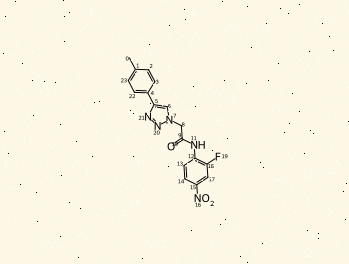 Cc1ccc(-c2cn(CC(=O)Nc3ccc([N+](=O)[O-])cc3F)nn2)cc1